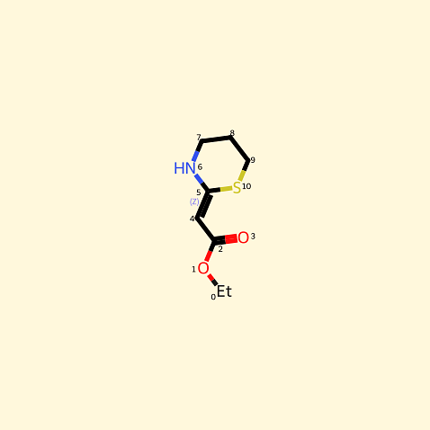 CCOC(=O)/C=C1/NCCCS1